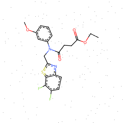 CCOC(=O)CCC(=O)N(Cc1nc2ccc(F)c(F)c2s1)c1cccc(OC)c1